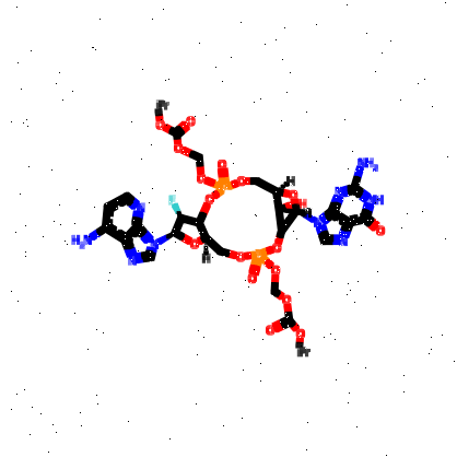 CC(C)OC(=O)OCOP1(=O)OC[C@H]2O[C@@H](n3cnc4c(N)ccnc43)[C@@H](F)C2OP(=O)(OCOC(=O)OC(C)C)OC[C@H]2O[C@@H](n3cnc4c(=O)[nH]c(N)nc43)C(O1)[C@H]2O